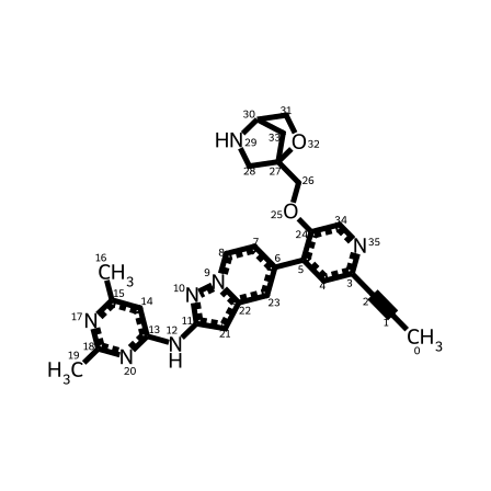 CC#Cc1cc(-c2ccn3nc(Nc4cc(C)nc(C)n4)cc3c2)c(OCC23CNC(CO2)C3)cn1